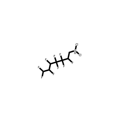 FC(F)C(F)C(F)C(F)(F)C(F)(F)C(F)C[SiH](Cl)Cl